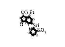 CCOC(=O)[C@H]1CC(=O)c2cc(Nc3ncccc3[N+](=O)[O-])ccc21